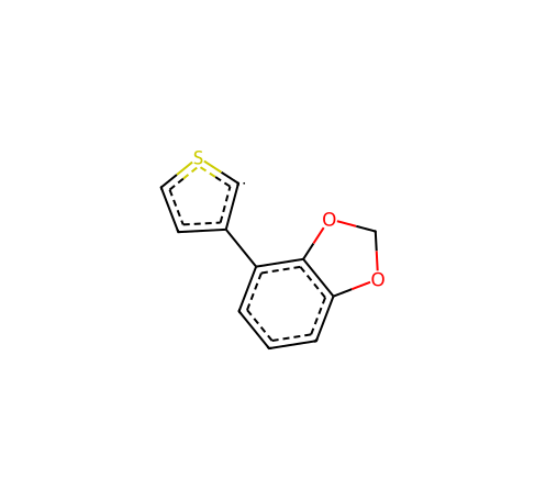 [c]1sccc1-c1cccc2c1OCO2